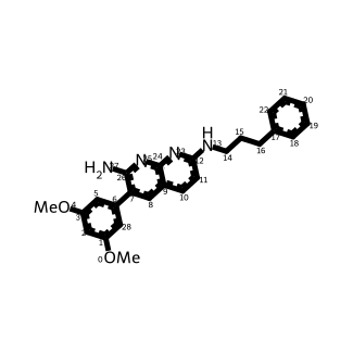 COc1cc(OC)cc(-c2cc3ccc(NCCCc4ccccc4)nc3nc2N)c1